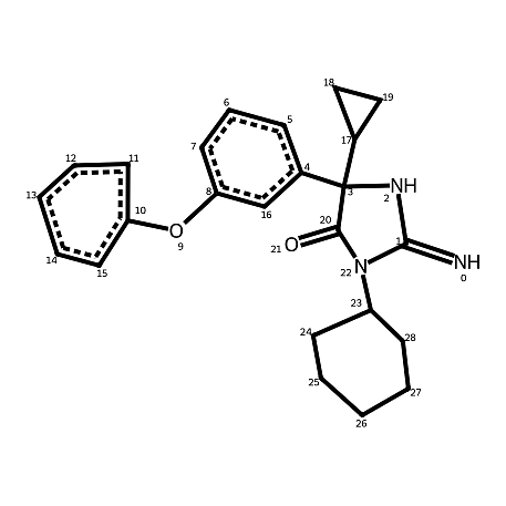 N=C1NC(c2cccc(Oc3ccccc3)c2)(C2CC2)C(=O)N1C1CCCCC1